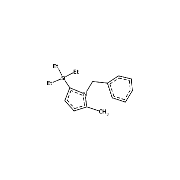 CC[Si](CC)(CC)c1ccc(C)n1Cc1ccccc1